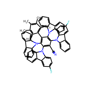 Cc1c(C)c(C)c(-c2c(-n3c4ccccc4c4ccccc43)c(-n3c4ccccc4c4cc(F)ccc43)c(C#N)c(-n3c4ccccc4c4cc(F)ccc43)c2-n2c3ccccc3c3ccccc32)c(C)c1C